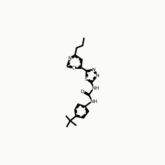 CCCc1cc(-c2nnc(NC(=O)Nc3ccc(C(C)(C)C)cc3)s2)ccn1